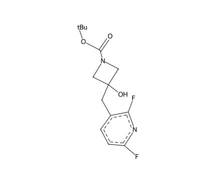 CC(C)(C)OC(=O)N1CC(O)(Cc2ccc(F)nc2F)C1